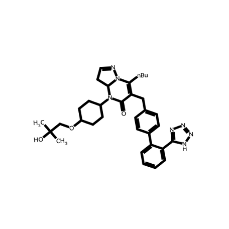 CCCCC1=C(Cc2ccc(-c3ccccc3-c3nnn[nH]3)cc2)C(=O)N(C2CCC(OCC(C)(C)O)CC2)C2CC=NN12